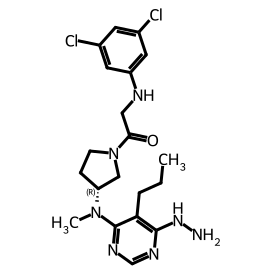 CCCc1c(NN)ncnc1N(C)[C@@H]1CCN(C(=O)CNc2cc(Cl)cc(Cl)c2)C1